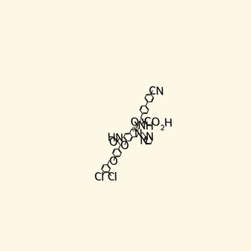 N#Cc1ccc(-c2ccc(C[C@H](NC(=O)[C@@H]3Cc4cc5c(cc4CN3Cc3ncccn3)OC(c3ccc(OCc4ccc(Cl)c(Cl)c4)cc3)C(=O)N5)C(=O)O)cc2)cc1